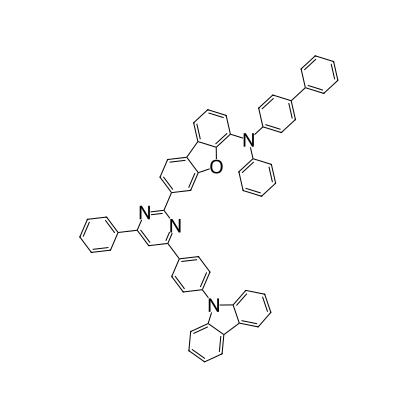 c1ccc(-c2ccc(N(c3ccccc3)c3cccc4c3oc3cc(-c5nc(-c6ccccc6)cc(-c6ccc(-n7c8ccccc8c8ccccc87)cc6)n5)ccc34)cc2)cc1